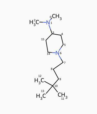 CN(C)C1CCN(CCCC(C)(C)C)CC1